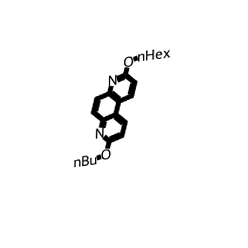 CCCCCCOc1ccc2c(ccc3nc(OCCCC)ccc32)n1